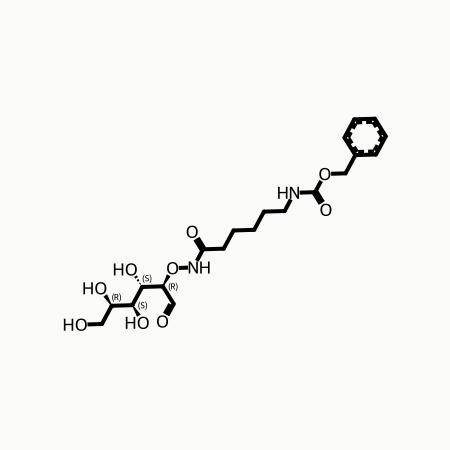 O=C[C@H](ONC(=O)CCCCCNC(=O)OCc1ccccc1)[C@@H](O)[C@@H](O)[C@H](O)CO